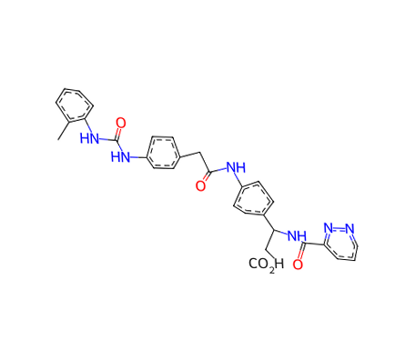 Cc1ccccc1NC(=O)Nc1ccc(CC(=O)Nc2ccc(C(CC(=O)O)NC(=O)c3cccnn3)cc2)cc1